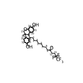 CC(CCCCCCCCC(=O)CCC(F)(F)C(F)(F)F)C1c2ccc(O)cc2OCC1(C)c1ccc(O)cc1